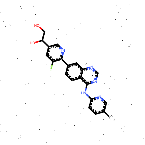 OCC(O)c1cnc(-c2ccc3c(Nc4ccc(C(F)(F)F)cn4)ncnc3c2)c(F)c1